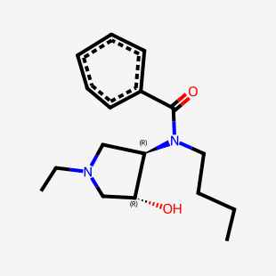 CCCCN(C(=O)c1ccccc1)[C@@H]1CN(CC)C[C@H]1O